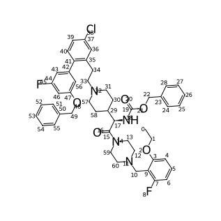 CCOc1cccc(F)c1CN1CCN(C(=O)[C@H](NC(=O)OCc2ccccc2)C2CCN(CCc3cc(Cl)ccc3-c3cc(F)cc(OCc4ccccc4)c3)CC2)CC1